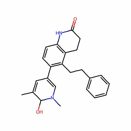 CC1=CC(c2ccc3c(c2CCc2ccccc2)CCC(=O)N3)=CN(C)C1O